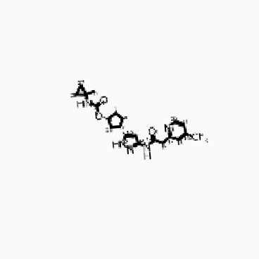 CC1(NC(=O)O[C@@H]2CC[C@H](c3cc(NC(=O)Cc4cc(C(F)(F)F)ccn4)n[nH]3)C2)CC1